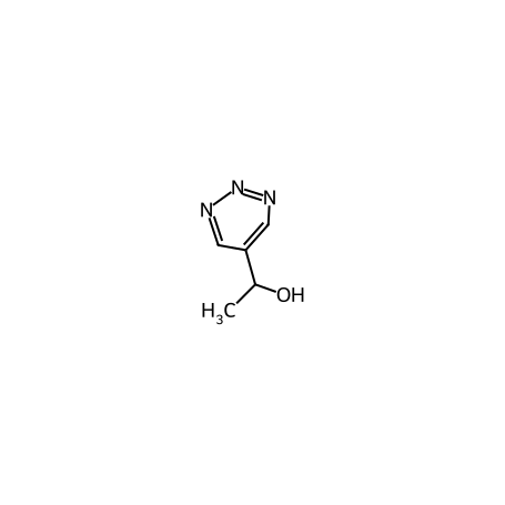 CC(O)c1cnnnc1